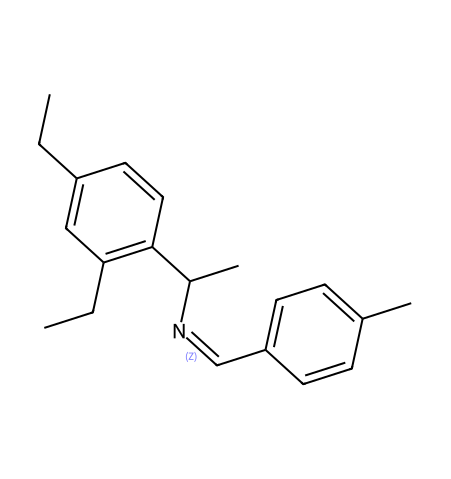 CCc1ccc(C(C)/N=C\c2ccc(C)cc2)c(CC)c1